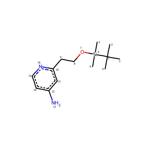 CC(C)(C)[Si](C)(C)OCCc1cc(N)ccn1